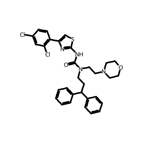 O=C(Nc1nc(-c2ccc(Cl)cc2Cl)cs1)N(CCC(c1ccccc1)c1ccccc1)CCN1CCOCC1